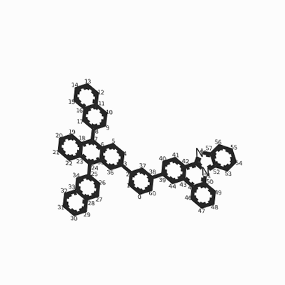 c1cc(-c2ccc3c(-c4ccc5ccccc5c4)c4ccccc4c(-c4ccc5ccccc5c4)c3c2)cc(-c2ccc3c(c2)c2ccccc2n2c4ccccc4nc32)c1